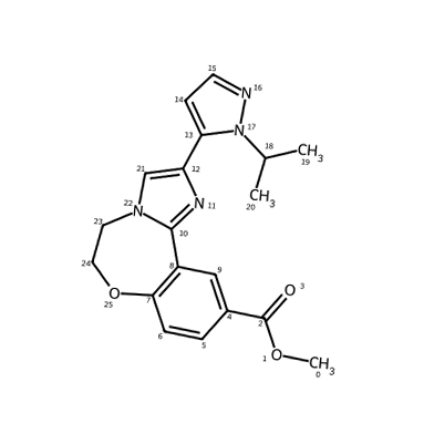 COC(=O)c1ccc2c(c1)-c1nc(-c3ccnn3C(C)C)cn1CCO2